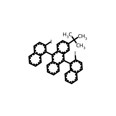 CC(C)(C)c1ccc2c(-c3c(I)ccc4ccccc34)c3ccccc3c(-c3c(I)ccc4ccccc34)c2c1